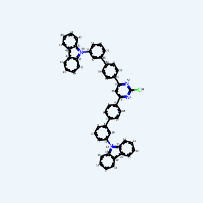 Clc1nc(-c2ccc(-c3cccc(-n4c5ccccc5c5ccccc54)c3)cc2)cc(-c2ccc(-c3cccc(-n4c5ccccc5c5ccccc54)c3)cc2)n1